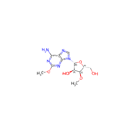 COc1nc(N)c2ncn([C@@H]3O[C@H](CO)[C@@H](OC)[C@H]3O)c2n1